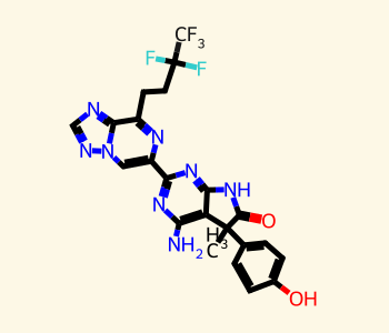 CC1(c2ccc(O)cc2)C(=O)Nc2nc(-c3cn4ncnc4c(CCC(F)(F)C(F)(F)F)n3)nc(N)c21